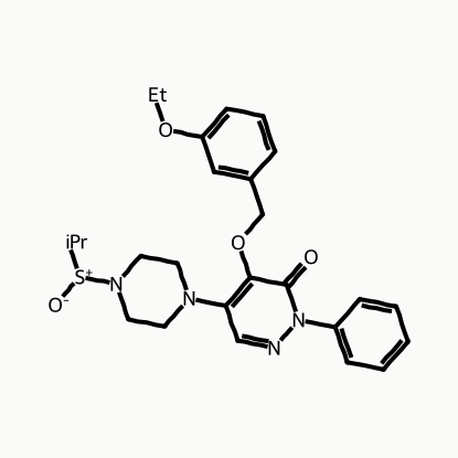 CCOc1cccc(COc2c(N3CCN([S+]([O-])C(C)C)CC3)cnn(-c3ccccc3)c2=O)c1